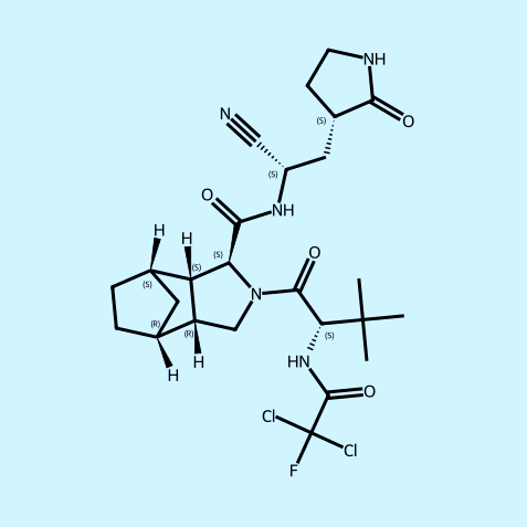 CC(C)(C)[C@H](NC(=O)C(F)(Cl)Cl)C(=O)N1C[C@@H]2[C@@H]3CC[C@@H](C3)[C@@H]2[C@H]1C(=O)N[C@H](C#N)C[C@@H]1CCNC1=O